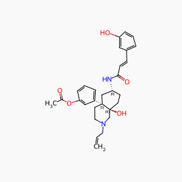 C=CCN1CC[C@@]2(c3cccc(OC(C)=O)c3)C[C@H](NC(=O)C=Cc3cccc(O)c3)CC[C@]2(O)C1